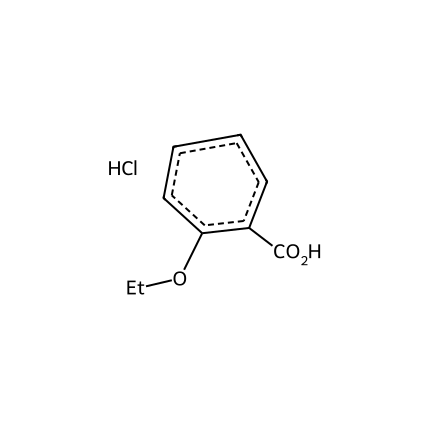 CCOc1ccccc1C(=O)O.Cl